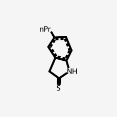 CCCc1ccc2c(c1)CC(=S)N2